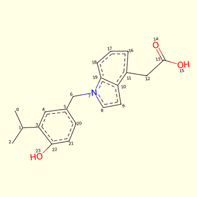 CC(C)c1cc(Cn2ccc3c(CC(=O)O)cccc32)ccc1O